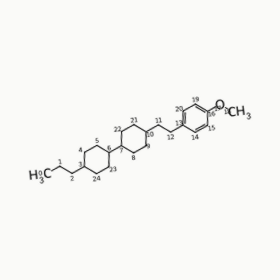 CCCC1CCC(C2CCC(CCc3ccc(OC)cc3)CC2)CC1